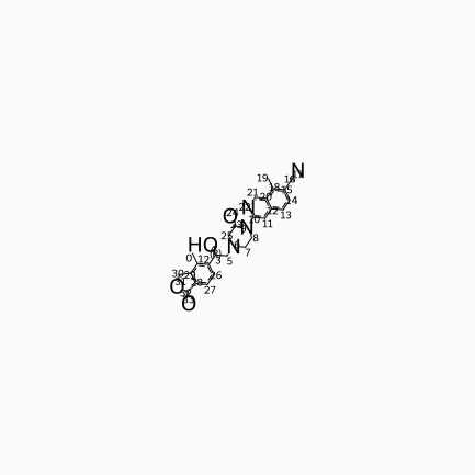 Cc1c([C@@H](O)CN2CCN(c3cc4ccc(C#N)c(C)c4cn3)C(=O)C2)ccc2c1COC2=O